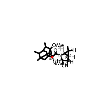 [2H]C1([2H])[C@]2([2H])C([2H])(C)[C@]2([2H])N(C(=O)[C@@H](NC)C23CC4C(C)C(C)(C2)C(C)C(OC)(C3)C4C)[C@]1([2H])C#N